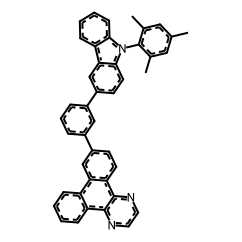 Cc1cc(C)c(-n2c3ccccc3c3cc(-c4cccc(-c5ccc6c(c5)c5ccccc5c5nccnc65)c4)ccc32)c(C)c1